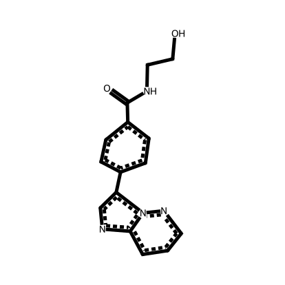 O=C(NCCO)c1ccc(-c2cnc3cccnn23)cc1